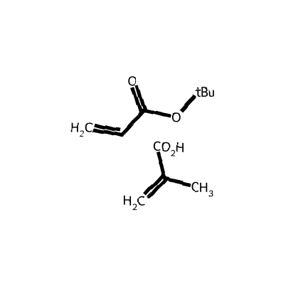 C=C(C)C(=O)O.C=CC(=O)OC(C)(C)C